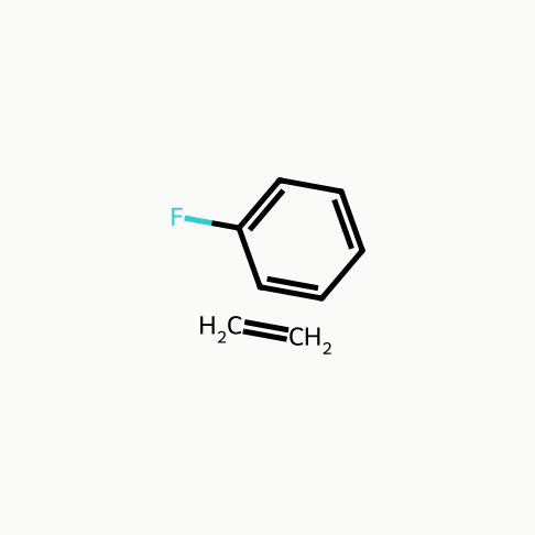 C=C.Fc1ccccc1